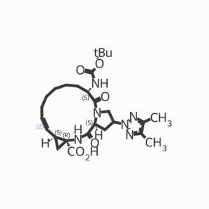 Cc1nn(C2C[C@H]3C(=O)N[C@]4(C(=O)O)C[C@H]4/C=C\CCCCC[C@H](NC(=O)OC(C)(C)C)C(=O)N3C2)nc1C